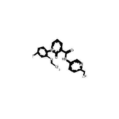 N#CCc1ccc(NC(=O)c2cccn(-c3ccc(F)cc3OCC(F)(F)F)c2=O)cn1